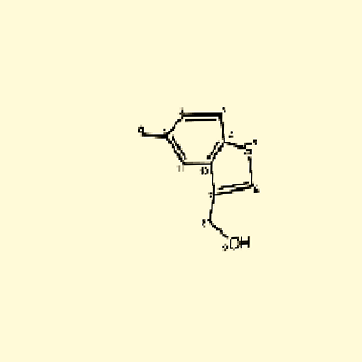 Cc1ccc2scc(CO)c2c1